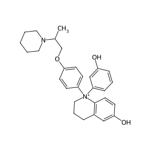 CC(COc1ccc([N+]2(c3cccc(O)c3)CCCc3cc(O)ccc32)cc1)N1CCCCC1